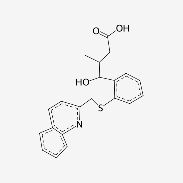 CC(CC(=O)O)C(O)c1ccccc1SCc1ccc2ccccc2n1